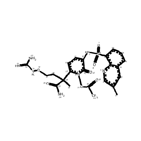 Cc1cnc2c(S(=O)(=O)Nc3ccc(C(C)(CCONC(=N)N)C(N)=O)n(OC(=O)C(F)(F)F)c3=O)cccc2c1